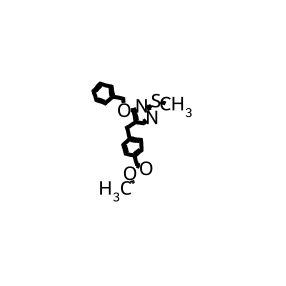 CCOC(=O)c1ccc(Cc2cnc(SC)nc2OCc2ccccc2)cc1